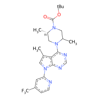 Cc1cn(-c2cc(C(F)(F)F)ccn2)c2ncnc(N3C[C@H](C)N(C(=O)OC(C)(C)C)CC3C)c12